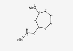 CCCCNCC1CCCCC(OC)C1